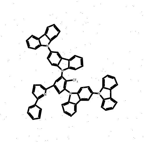 FC(F)(F)c1c(-n2c3ccccc3c3cc(-n4c5ccccc5c5ccccc54)ccc32)cc(-c2cccc(-c3ccccc3)n2)cc1-n1c2ccccc2c2cc(-n3c4ccccc4c4ccccc43)ccc21